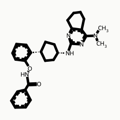 CN(C)c1nc(N[C@H]2CC[C@@H](c3ccccc3ONC(=O)c3ccccc3)CC2)nc2c1CCCC2